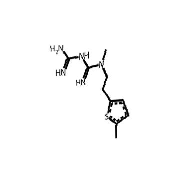 Cc1ccc(CCN(C)C(=N)NC(=N)N)s1